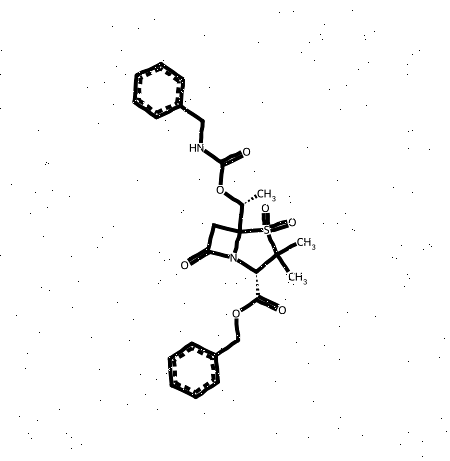 C[C@@H](OC(=O)NCc1ccccc1)C12CC(=O)N1[C@@H](C(=O)OCc1ccccc1)C(C)(C)S2(=O)=O